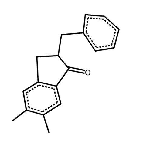 Cc1cc2c(cc1C)C(=O)C(Cc1ccccc1)C2